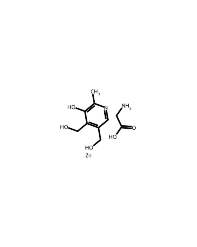 Cc1ncc(CO)c(CO)c1O.NCC(=O)O.[Zn]